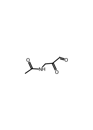 CC(=O)NCC(=O)[C]=O